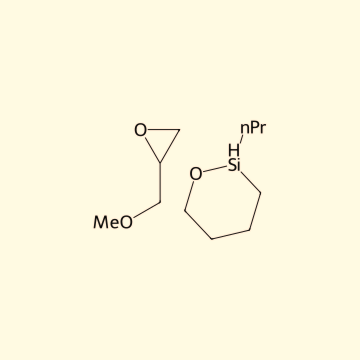 CCC[SiH]1CCCCO1.COCC1CO1